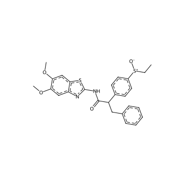 CC[S+]([O-])c1ccc(C(Cc2ccccc2)C(=O)Nc2nc3cc(OC)c(OC)cc3s2)cc1